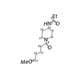 CCC(=O)NC1CCN(C(=O)CCCCOC)CC1